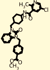 COC(=O)c1ccc(Cn2c(=O)n(CC3CCC(NC(=O)c4cc(Cl)cnc4C)CC3)c3ccccc32)cc1